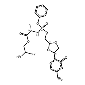 CCCC(CCC)COC(=O)[C@H](C)N[P@@](=O)(OC[C@H]1OC[C@@H](n2ccc(N)nc2=O)O1)Oc1ccccc1